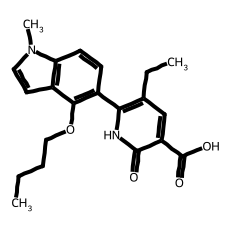 CCCCOc1c(-c2[nH]c(=O)c(C(=O)O)cc2CC)ccc2c1ccn2C